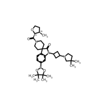 C[C@@H]1CCO[C@@H]1C(=O)N1CCC2(CC1)C(=O)N(C1CC(N3CCC(C)(C)C3)C1)c1cc(B3OC(C)(C)C(C)(C)O3)ccc12